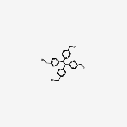 BrCc1ccc(C(c2ccc(CBr)cc2)C(c2ccc(CBr)cc2)c2ccc(CBr)cc2)cc1